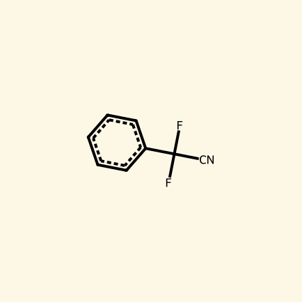 N#CC(F)(F)c1ccccc1